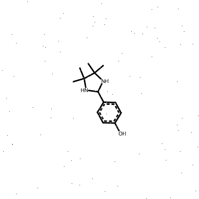 CC1(C)NC(c2ccc(O)cc2)NC1(C)C